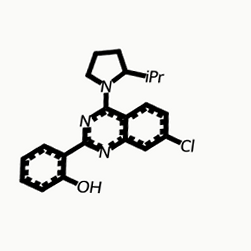 CC(C)C1CCCN1c1nc(-c2ccccc2O)nc2cc(Cl)ccc12